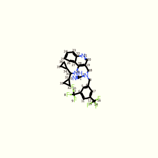 N#CN(Cc1cc(C(F)(F)F)cc(C(F)(F)F)c1)Cc1cnc2ccccc2c1NC(C1CC1)C1CC1